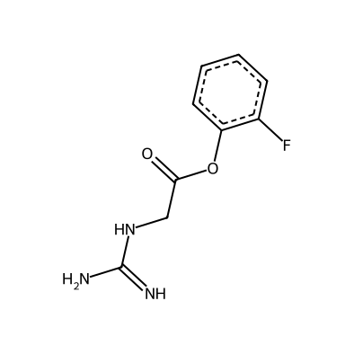 N=C(N)NCC(=O)Oc1ccccc1F